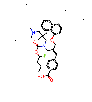 CCCC(F)OC(=O)N(CC(=Cc1ccc(C(=O)O)cc1)COc1cccc2ccccc12)CC(C)(C)CN(C)C